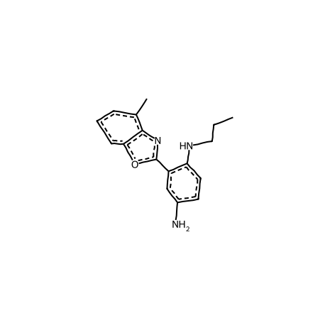 CCCNc1ccc(N)cc1-c1nc2c(C)cccc2o1